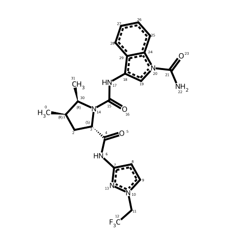 C[C@@H]1C[C@@H](C(=O)Nc2ccn(CC(F)(F)F)n2)N(C(=O)Nc2cn(C(N)=O)c3ccccc23)[C@@H]1C